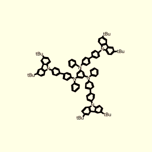 CC(C)(C)c1ccc2c(c1)c1cc(C(C)(C)C)ccc1n2-c1ccc(-c2ccc(N(c3ccccc3)c3cc(N(c4ccccc4)c4ccc(-c5ccc(-n6c7ccc(C(C)(C)C)cc7c7cc(C(C)(C)C)ccc76)cc5)cc4)cc(N(c4ccccc4)c4ccc(-c5ccc(-n6c7ccc(C(C)(C)C)cc7c7cc(C(C)(C)C)ccc76)cc5)cc4)c3)cc2)cc1